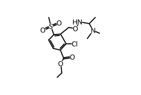 CCOC(=O)c1ccc(S(C)(=O)=O)c(CONC(C)N(C)C)c1Cl